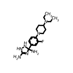 CCN(CC)C1CCN(c2ccc(C3(N)N=C(N)NN3)cc2F)CC1